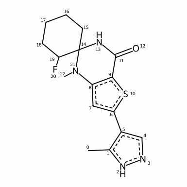 Cc1[nH]ncc1-c1cc2c(s1)C(=O)NC1(CCCCC1F)N2C